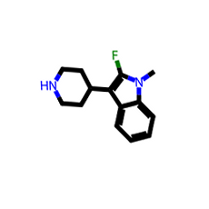 Cn1c(F)c(C2CCNCC2)c2ccccc21